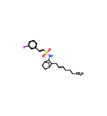 O=C(O)CCCC=CCC1C2CCC(C2)C1NS(=O)(=O)C=Cc1cccc(I)c1